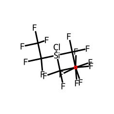 FC(F)(F)C(F)(F)[Si](Cl)(C(F)(F)C(F)(F)F)C(F)(F)C(F)(F)F